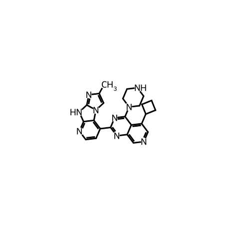 Cc1cn2c(n1)[nH]c1nccc(-c3nc(N4CCNCC4)c4c(C5CCC5)cncc4n3)c12